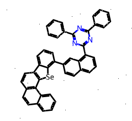 c1ccc(-c2nc(-c3ccccc3)nc(-c3cccc4ccc(-c5cccc6c5[se]c5c6ccc6ccc7ccccc7c65)cc34)n2)cc1